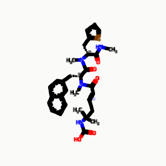 CNC(=O)[C@@H](Cc1cccs1)N(C)C(=O)[C@@H](Cc1ccc2ccccc2c1)N(C)C(=O)/C=C/CC(C)(C)NC(=O)O